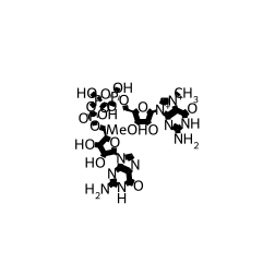 COC1C(O)[C@H]([N+]2=C=[N+](C)c3c2nc(N)[nH]c3=O)O[C@@H]1COP(=O)(O)OP(=O)(O)OP(=O)(O)OC[C@H]1O[C@@H](n2cnc3c(=O)[nH]c(N)nc32)C(O)C1O